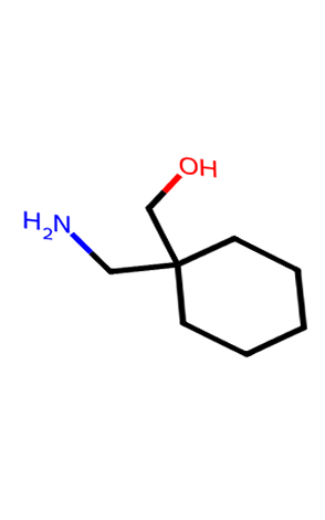 NCC1(CO)CCCCC1